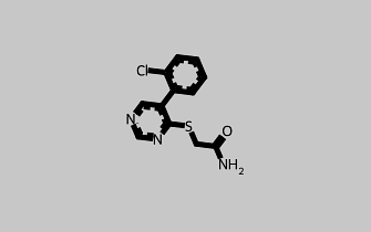 NC(=O)CSc1ncncc1-c1ccccc1Cl